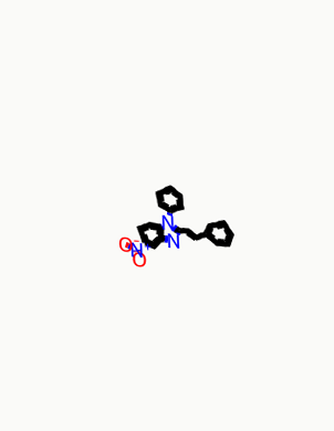 O=[N+]([O-])c1ccc2c(c1)nc(C=Cc1ccccc1)n2-c1ccccc1